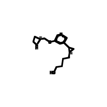 OCCCC[C@@H]1CC1c1cncc(OC[C@@H]2CCN2)c1